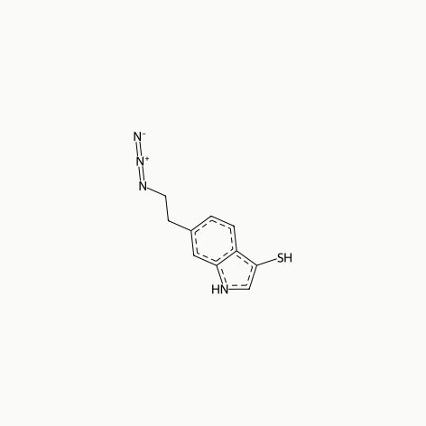 [N-]=[N+]=NCCc1ccc2c(S)c[nH]c2c1